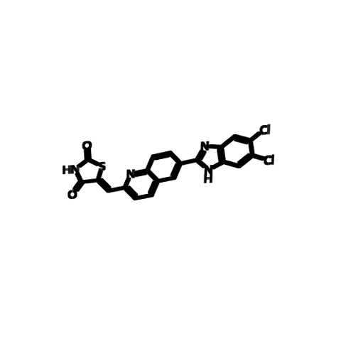 O=C1NC(=O)C(=Cc2ccc3cc(-c4nc5cc(Cl)c(Cl)cc5[nH]4)ccc3n2)S1